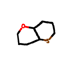 C1CSC2CCCOC2C1